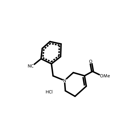 COC(=O)C1=CCCN(Cc2ccccc2C#N)C1.Cl